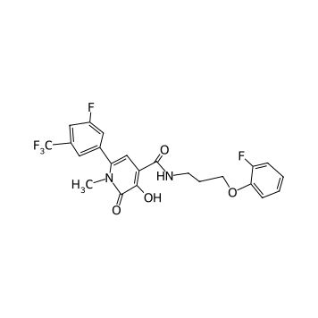 Cn1c(-c2cc(F)cc(C(F)(F)F)c2)cc(C(=O)NCCCOc2ccccc2F)c(O)c1=O